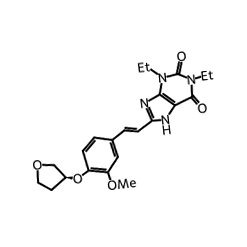 CCn1c(=O)c2[nH]c(/C=C/c3ccc(O[C@H]4CCOC4)c(OC)c3)nc2n(CC)c1=O